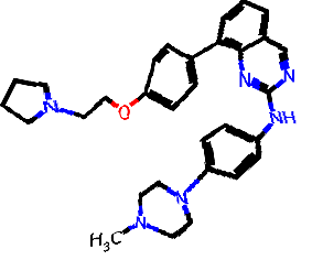 CN1CCN(c2ccc(Nc3ncc4cccc(-c5ccc(OCCN6CCCC6)cc5)c4n3)cc2)CC1